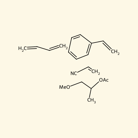 C=CC#N.C=CC=C.C=Cc1ccccc1.COCC(C)OC(C)=O